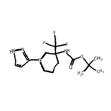 CC(C)(C)OC(=O)NC1(C(F)(F)F)CCCN(c2cc[nH]n2)C1